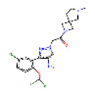 CN1CCC2(C1)CN(C(=O)Cn1cc(N)c(-c3cc(Cl)ccc3OC(F)F)n1)C2